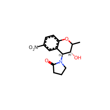 CC1Oc2ccc([N+](=O)[O-])cc2[C@H](N2CCCC2=O)[C@H]1O